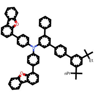 CCCC(C)(C)c1cc(-c2ccc(-c3cc(-c4ccccc4)cc(N(c4ccc(-c5cccc6c5oc5ccccc56)cc4)c4ccc(-c5cccc6c5oc5ccccc56)cc4)c3)cc2)cc(C(C)(C)CC)c1